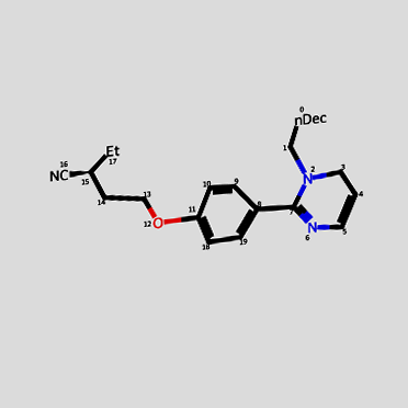 CCCCCCCCCCCN1CC=CN=C1c1ccc(OCC[C@@H](C#N)CC)cc1